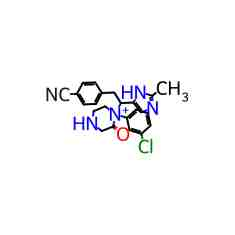 Cc1ncc(C(Cc2ccc(C#N)cc2)[N+]2(c3cccc(Cl)c3)CCNCC2=O)[nH]1